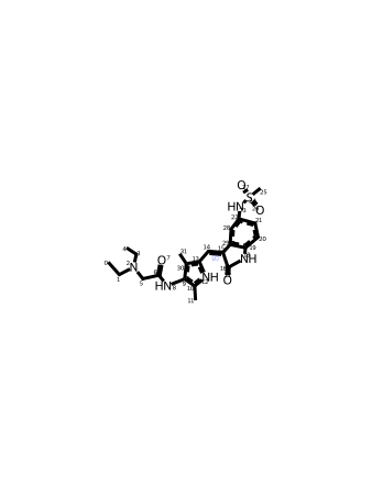 CCN(CC)CC(=O)Nc1c(C)[nH]c(/C=C2\C(=O)Nc3ccc(NS(C)(=O)=O)cc32)c1C